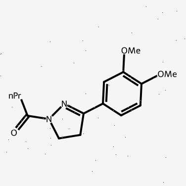 CCCC(=O)N1CCC(c2ccc(OC)c(OC)c2)=N1